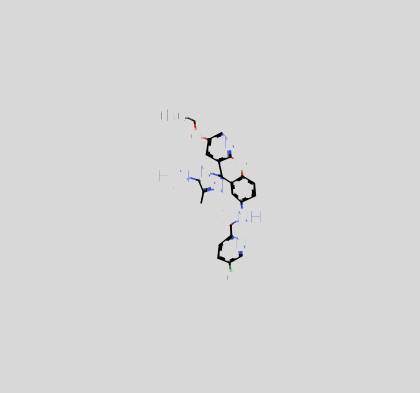 CC1=NC2(N=C1N)c1cc(NC(=O)c3ccc(Cl)cn3)ccc1Oc1ncc(OCC(C)(C)C)cc12